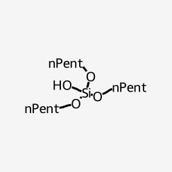 CCCCCO[Si](O)(OCCCCC)OCCCCC